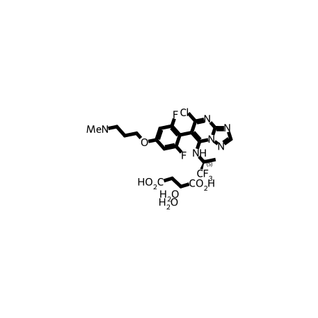 CNCCCOc1cc(F)c(-c2c(Cl)nc3ncnn3c2N[C@@H](C)C(F)(F)F)c(F)c1.O.O.O=C(O)CCC(=O)O